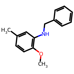 COc1ccc(C)cc1NCc1ccccc1